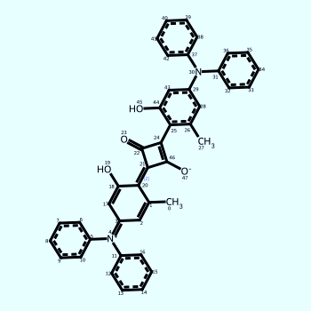 CC1=CC(=[N+](c2ccccc2)c2ccccc2)C=C(O)/C1=C1\C(=O)C(c2c(C)cc(N(c3ccccc3)c3ccccc3)cc2O)=C1[O-]